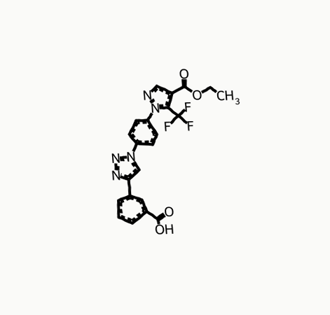 CCOC(=O)c1cnn(-c2ccc(-n3cc(-c4cccc(C(=O)O)c4)nn3)cc2)c1C(F)(F)F